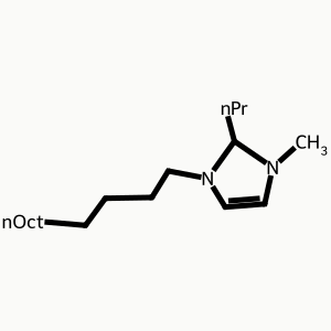 CCCCCCCCCCCCN1C=CN(C)C1CCC